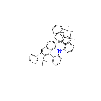 CC1(C)c2ccccc2-c2c(-c3ccccc3N(c3ccccc3-c3cccc4c3C(C)(C)c3ccccc3-4)c3cccc4c3-c3ccccc3C4(C)C)cccc21